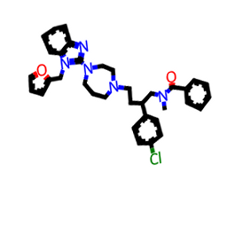 CN(CC(CCN1CCCN(c2nc3ccccc3n2Cc2ccco2)CC1)c1ccc(Cl)cc1)C(=O)c1ccccc1